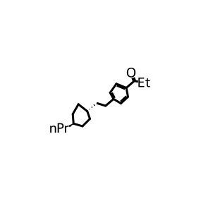 CCC[C@H]1CC[C@H](CCc2ccc(C(=O)CC)cc2)CC1